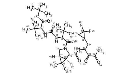 CC(C)(C)OC(=O)[C@@H](NC(=O)N[C@H](C(=O)N1C[C@H]2[C@@H]([C@H]1C(=O)NC(CC1CC1(F)F)C(=O)C(N)=O)C2(C)C)C(C)(C)C)C(C)(C)C